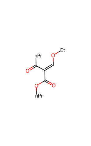 CCCOC(=O)C(=COCC)C(=O)CCC